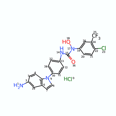 Cl.Nc1ccc2c(ccn2-c2ccc(NC(=O)N(O)c3ccc(Cl)c(C(F)(F)F)c3)cc2)c1